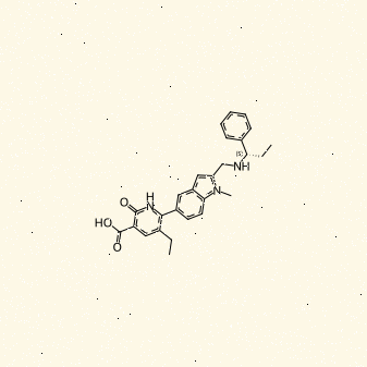 CCc1cc(C(=O)O)c(=O)[nH]c1-c1ccc2c(c1)cc(CN[C@@H](CC)c1ccccc1)n2C